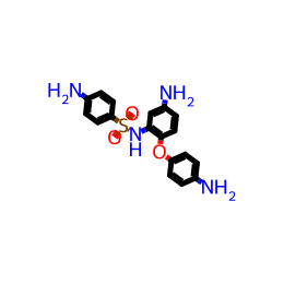 Nc1ccc(Oc2ccc(N)cc2NS(=O)(=O)c2ccc(N)cc2)cc1